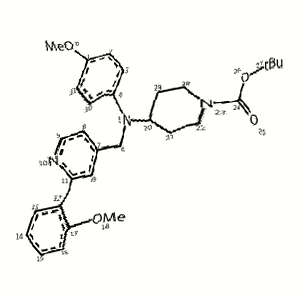 COc1ccc(N(Cc2ccnc(-c3ccccc3OC)c2)C2CCN(C(=O)OC(C)(C)C)CC2)cc1